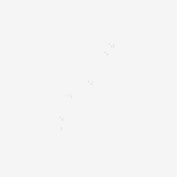 CN1CCC(NCCNC(=O)CC2CN(N)C2)CC1